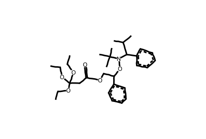 CCOC(CC(=O)OCC(ON(C(c1ccccc1)C(C)C)C(C)(C)C)c1ccccc1)(OCC)OCC